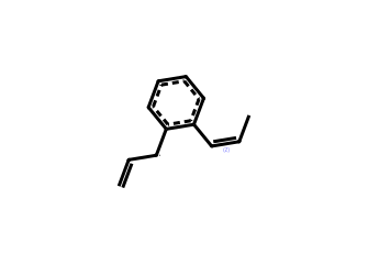 C=C[CH]c1ccccc1/C=C\C